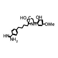 COc1ccc(C(CC(=O)O)NC(=O)CCCCc2ccc(C(=N)N)cc2)c(O)c1